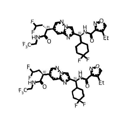 CCc1conc1C(=O)N[C@H](c1cn2ncc([C@@H](CC(F)F)C(=O)NCC(F)(F)F)cc2n1)C1CCC(F)(F)CC1.CCc1conc1C(=O)N[C@H](c1cn2ncc([C@H](CC(F)F)C(=O)NCC(F)(F)F)cc2n1)C1CCC(F)(F)CC1